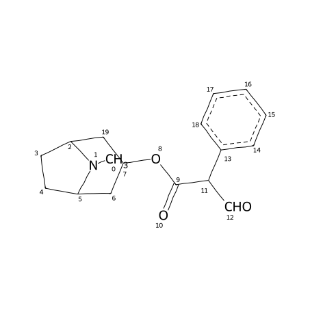 CN1C2CCC1CC(OC(=O)C(C=O)c1ccccc1)C2